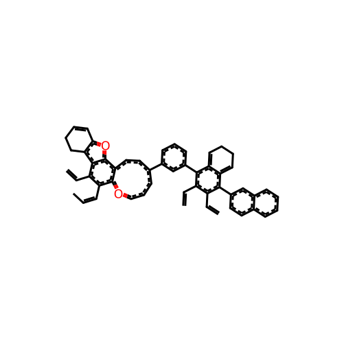 C=Cc1c(C=C)c(-c2ccc3ccccc3c2)c2c(c1-c1cccc(-c3cccoc4c(/C=C\C)c(C=C)c5c6c(oc5c4cc3)C=CCC6)c1)=CCCC=2